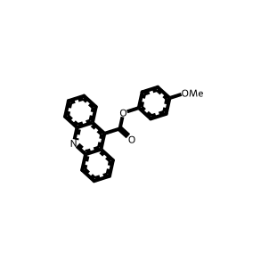 COc1ccc(OC(=O)c2c3ccccc3nc3ccccc23)cc1